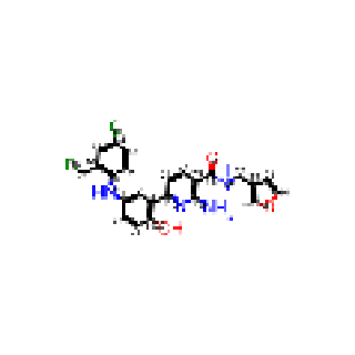 Nc1nc(-c2cc(Nc3ccc(Cl)cc3CF)ccc2O)ccc1C(=O)NCc1ccoc1